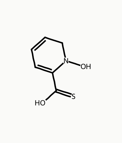 OC(=S)C1=CC=CCN1O